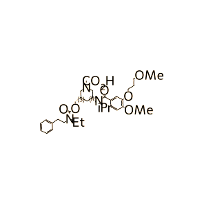 CCN(CCc1ccccc1)C(=O)OC[C@H]1C[C@@H](N(C(=O)c2ccc(OC)c(OCCCOC)c2)C(C)C)CN(C(=O)O)C1